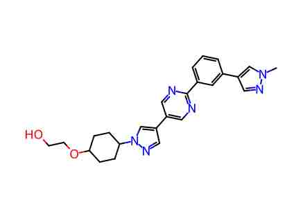 Cn1cc(-c2cccc(-c3ncc(-c4cnn(C5CCC(OCCO)CC5)c4)cn3)c2)cn1